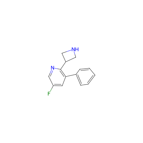 Fc1cnc(C2CNC2)c(-c2ccccc2)c1